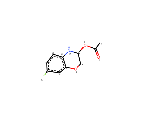 CC(=O)O[C@H]1COc2cc(F)ccc2N1